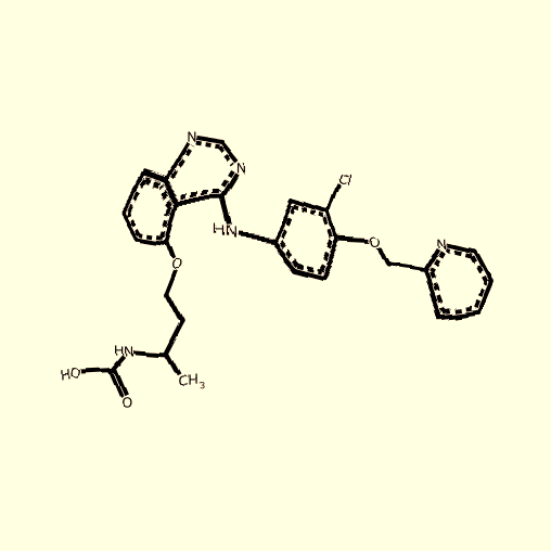 CC(CCOc1cccc2ncnc(Nc3ccc(OCc4ccccn4)c(Cl)c3)c12)NC(=O)O